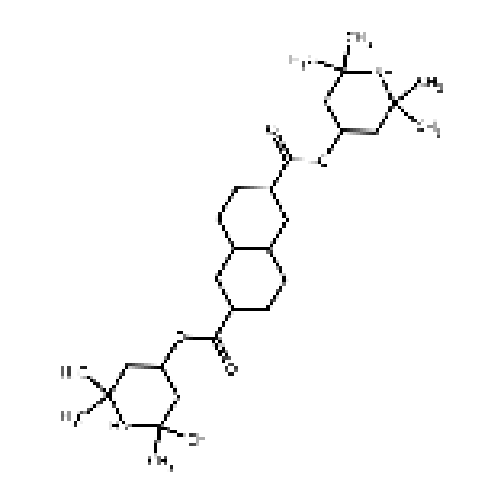 CC1(C)CC(OC(=O)C2CCC3CC(C(=O)OC4CC(C)(C)NC(C)(C)C4)CCC3C2)CC(C)(C)N1